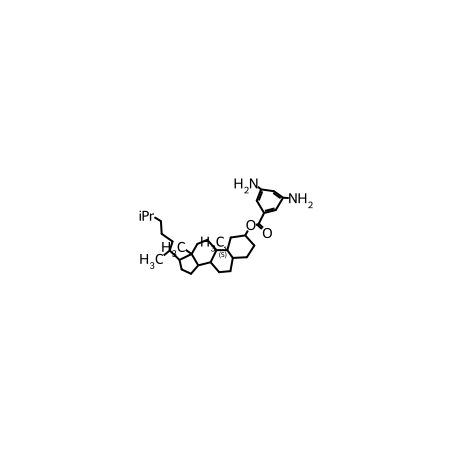 CC(C)CCCC(C)C1CCC2C3CCC4CCC(OC(=O)c5cc(N)cc(N)c5)C[C@]4(C)C3CCC12C